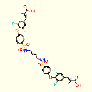 C/C(=C\c1cc(F)c(Oc2ccc(S(=O)(=O)NCCCCNS(=O)(=O)c3ccc(Oc4c(F)cc(/C=C(\C)C(=O)O)cc4F)cc3)cc2)c(F)c1)C(=O)O